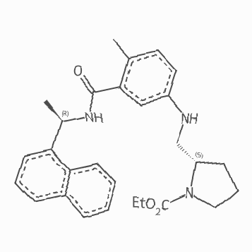 CCOC(=O)N1CCC[C@H]1CNc1ccc(C)c(C(=O)N[C@H](C)c2cccc3ccccc23)c1